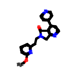 COc1cccc(CCN2Cc3nccc(-c4ccncc4)c3C2=O)n1